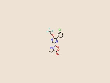 COC(=O)[C@H](NC(=O)c1cnc(OCC(F)(F)F)c(-c2cccc(Cl)c2)n1)C(C)C